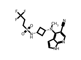 CN(c1c(C#N)cnc2[nH]ccc12)[C@H]1C[C@@H](NS(=O)(=O)CCC(F)(F)F)C1